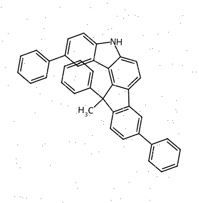 CC1(c2ccccc2)c2ccc(-c3ccccc3)cc2-c2ccc3[nH]c4ccc(-c5ccccc5)cc4c3c21